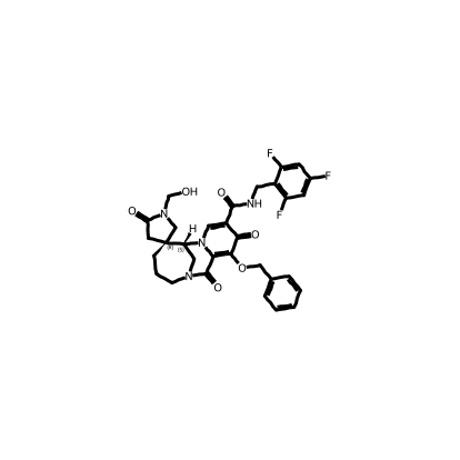 O=C(NCc1c(F)cc(F)cc1F)c1cn2c(c(OCc3ccccc3)c1=O)C(=O)N1CCC[C@]3(CC(=O)N(CO)C3)[C@H]2C1